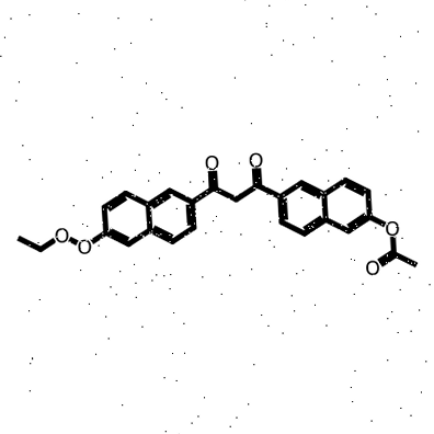 CCOOc1ccc2cc(C(=O)CC(=O)c3ccc4cc(OC(C)=O)ccc4c3)ccc2c1